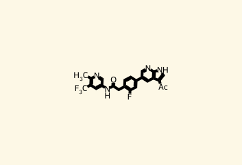 CC(=O)c1c[nH]c2ncc(-c3ccc(CC(=O)Nc4cnc(C)c(C(F)(F)F)c4)c(F)c3)cc12